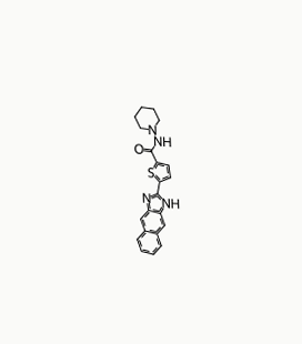 O=C(NN1CCCCC1)c1ccc(-c2nc3cc4ccccc4cc3[nH]2)s1